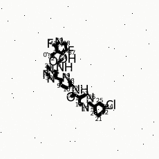 C[C@@H](OC(O)Nc1c(-c2ccc(NC(=O)c3cnc(-c4cccc(Cl)c4)nc3)cn2)nnn1C)c1cc(F)cnc1F